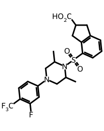 CC1CN(c2ccc(C(F)(F)F)c(F)c2)CC(C)N1S(=O)(=O)c1cccc2c1CC(C(=O)O)C2